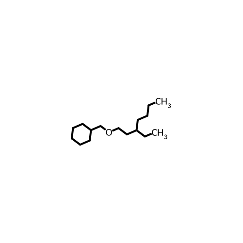 CCCCC(CC)CCOCC1CCCCC1